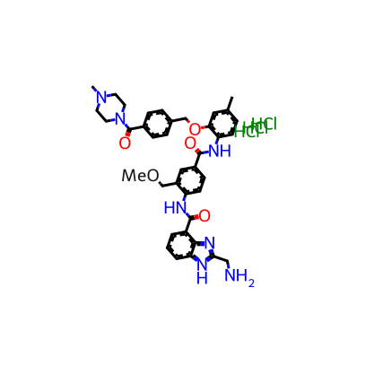 COCc1cc(C(=O)Nc2ccc(C)cc2OCc2ccc(C(=O)N3CCN(C)CC3)cc2)ccc1NC(=O)c1cccc2[nH]c(CN)nc12.Cl.Cl.Cl